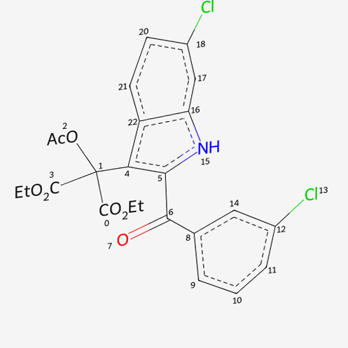 CCOC(=O)C(OC(C)=O)(C(=O)OCC)c1c(C(=O)c2cccc(Cl)c2)[nH]c2cc(Cl)ccc12